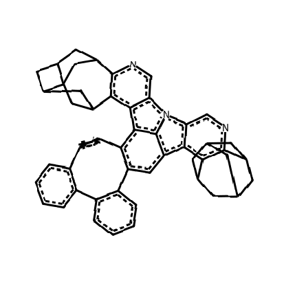 c1ccc2c(c1)-c1ccccc1-c1cc3c4c5c(ncc4n4c6cnc7c(c6c(c1-c1ccccc1-2)c34)C1CC2CC3CC7CC32C1)C1CC2CC(C1)CC5C2